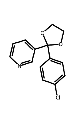 Clc1ccc(C2(c3cccnc3)OCCO2)cc1